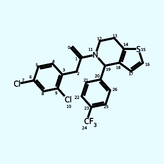 C=C(Cc1ccc(Cl)cc1Cl)N1CCc2sccc2C1c1ccc(C(F)(F)F)cc1